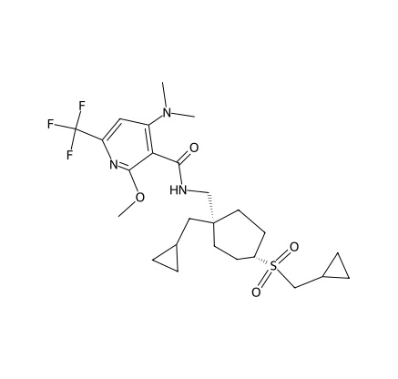 COc1nc(C(F)(F)F)cc(N(C)C)c1C(=O)NC[C@]1(CC2CC2)CC[C@H](S(=O)(=O)CC2CC2)CC1